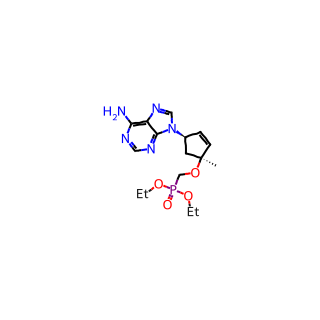 CCOP(=O)(CO[C@]1(C)C=C[C@H](n2cnc3c(N)ncnc32)C1)OCC